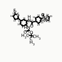 CC(C)(C)OC(=O)Nc1ccc(-c2ccc(F)s2)cc1NC(=O)c1ccc([SH]2(=O)CCCN2)cc1